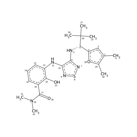 Cc1cc([C@H](Nc2nsnc2Nc2cccc(C(=O)N(C)C)c2O)C(C)(C)C)oc1C